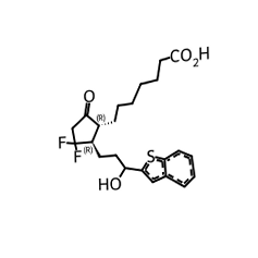 O=C(O)CCCCCC[C@H]1C(=O)CC(F)(F)[C@@H]1CCC(O)c1cc2ccccc2s1